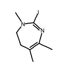 CC1=C(C)N=C(I)N(C)CC1